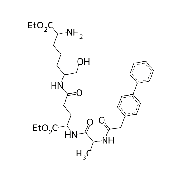 CCOC(=O)C(N)CCCC(CO)NC(=O)CCC(NC(=O)C(C)NC(=O)Cc1ccc(-c2ccccc2)cc1)C(=O)OCC